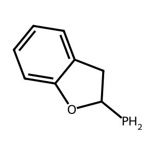 PC1Cc2ccccc2O1